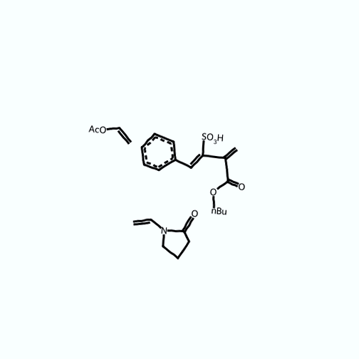 C=C(C(=O)OCCCC)C(=Cc1ccccc1)S(=O)(=O)O.C=CN1CCCC1=O.C=COC(C)=O